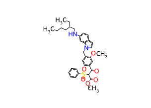 CCCCC(CC)CNc1ccc2ccn(Cc3ccc(C(=O)C(C(=O)OC)S(=O)(=O)c4ccccc4)cc3OC)c2c1